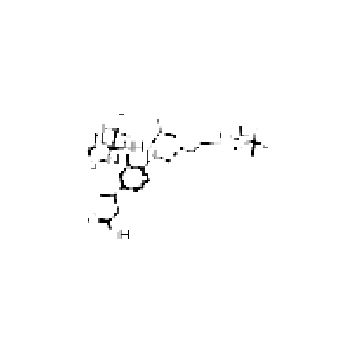 CC(C)CN(CCCCCO[Si](C)(C)C(C)(C)C)c1ccc(C(C)CC(=O)O)cc1NC1(C(F)(F)F)N=CSN1